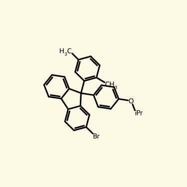 Cc1ccc(C)c(C2(c3ccc(OC(C)C)cc3)c3ccccc3-c3ccc(Br)cc32)c1